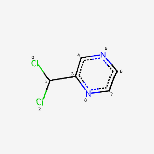 ClC(Cl)c1cnccn1